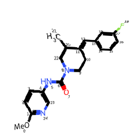 COc1ccc(NC(=O)N2CCC(=Cc3cccc(F)c3)C(C)C2)cn1